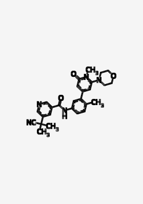 Cc1ccc(NC(=O)c2cncc(C(C)(C)C#N)c2)cc1-c1cc(N2CCOCC2)n(C)c(=O)c1